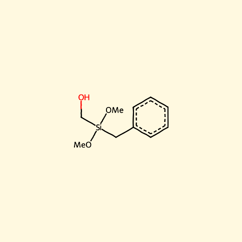 CO[Si](CO)(Cc1ccccc1)OC